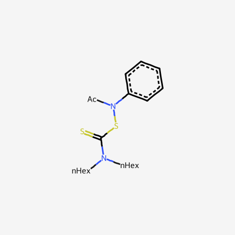 CCCCCCN(CCCCCC)C(=S)SN(C(C)=O)c1ccccc1